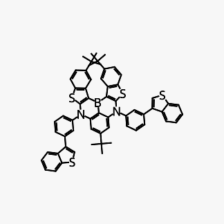 CC(C)(C)c1cc2c3c(c1)N(c1cccc(-c4csc5ccccc45)c1)c1sc4ccc(C(C)(C)C)cc4c1B3c1c(sc3ccc(C(C)(C)C)cc13)N2c1cccc(-c2csc3ccccc23)c1